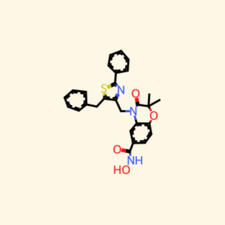 CC1(C)Oc2ccc(C(=O)NO)cc2N(Cc2nc(-c3ccccc3)sc2Cc2ccccc2)C1=O